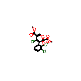 COC(=O)C1=COC(O)(C(=O)OC)C(c2cccc(Cl)c2Cl)=C1Cl